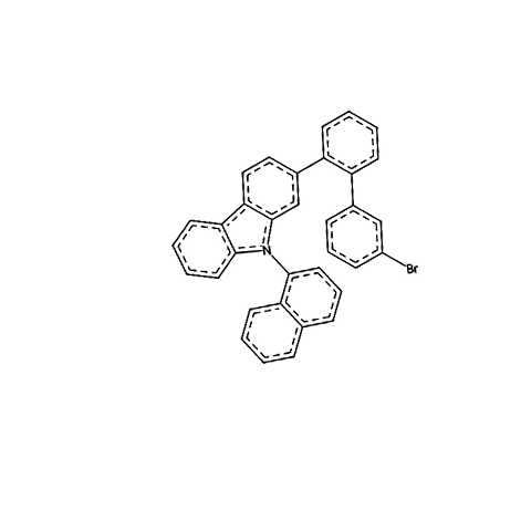 Brc1cccc(-c2ccccc2-c2ccc3c4ccccc4n(-c4cccc5ccccc45)c3c2)c1